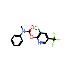 CN(C(=O)Oc1ncc(C(F)(F)F)cc1Cl)c1ccccc1